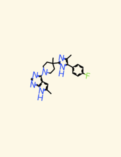 Cc1cc2c(N3CCC(C)(c4nc(C)c(-c5ccc(F)cc5)[nH]4)CC3)ncnc2[nH]1